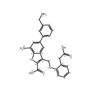 NCc1cccc(-c2cc(N)c3oc(C(=O)O)c(COc4ccccc4CC(=O)O)c3c2)c1